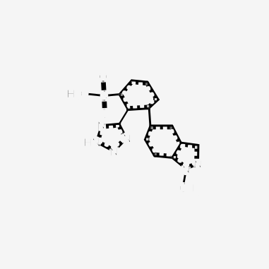 Cn1ncc2cc(-c3cccc(S(C)(=O)=O)c3-c3nn[nH]n3)ccc21